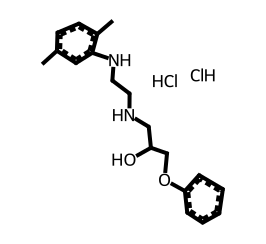 Cc1ccc(C)c(NCCNCC(O)COc2ccccc2)c1.Cl.Cl